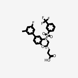 Cc1cc(F)cc(-c2ccc3c(c2)N(S(=O)(=O)c2cccc(C(F)(F)F)c2)C[C@H](CCC(=O)O)O3)c1